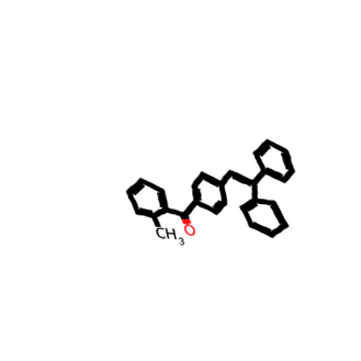 Cc1ccccc1C(=O)c1ccc(C=C(c2ccccc2)c2ccccc2)cc1